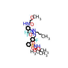 CCCCc1nn(-c2cc(NC(=O)CCOC)ccc2C(F)(F)F)c(=O)n1Cc1ccc(-c2ccccc2S(=O)(=O)NC(=O)OC(C)(C)C)cc1F